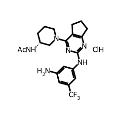 CC(=O)N[C@@H]1CCCN(c2nc(Nc3cc(N)cc(C(F)(F)F)c3)nc3c2CCC3)C1.Cl